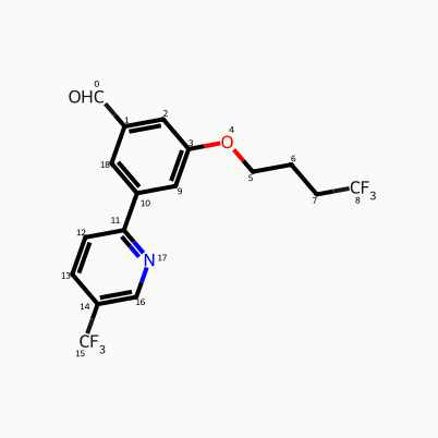 O=Cc1cc(OCCCC(F)(F)F)cc(-c2ccc(C(F)(F)F)cn2)c1